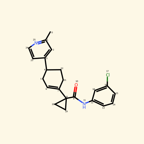 Cc1cc(C2CC=C(C3(C(=O)Nc4cccc(Cl)c4)CC3)CC2)ccn1